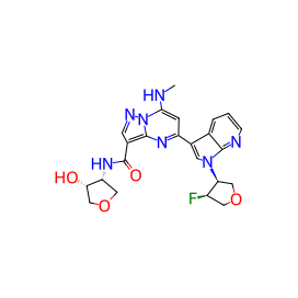 CNc1cc(-c2cn([C@H]3COC[C@H]3F)c3ncccc23)nc2c(C(=O)N[C@@H]3COC[C@@H]3O)cnn12